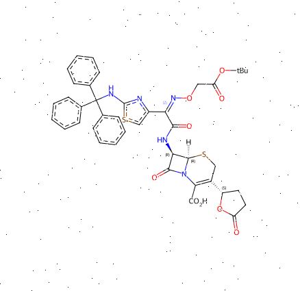 CC(C)(C)OC(=O)CO/N=C(\C(=O)N[C@@H]1C(=O)N2C(C(=O)O)=C([C@@H]3CCC(=O)O3)CS[C@H]12)c1csc(NC(c2ccccc2)(c2ccccc2)c2ccccc2)n1